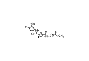 C=CC(=O)N1CC(NC(=O)c2coc(CNc3cc(C(C)(C)C)c(Cl)cc3O)n2)C1